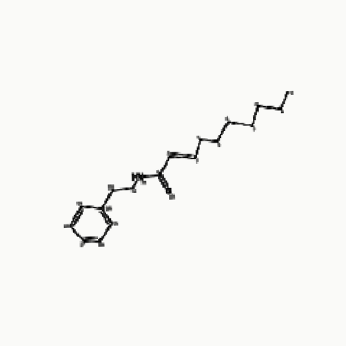 CCCCCCCC=CC(=O)NCCc1ccccc1